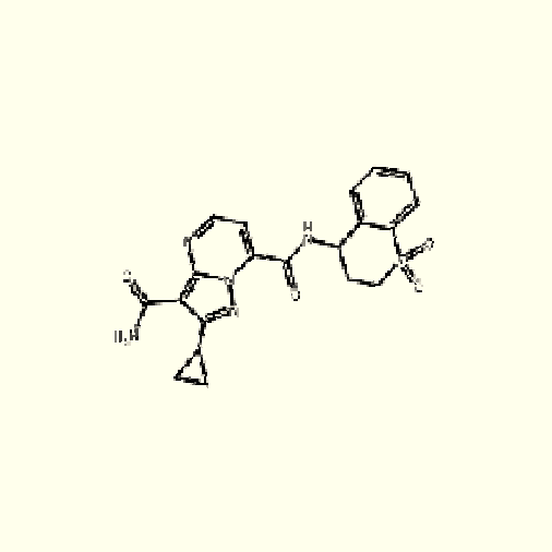 NC(=O)c1c(C2CC2)nn2c(C(=O)NC3CCS(=O)(=O)c4ccccc43)ccnc12